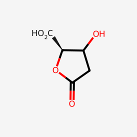 O=C1CC(O)[C@H](C(=O)O)O1